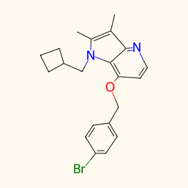 Cc1c(C)n(CC2CCC2)c2c(OCc3ccc(Br)cc3)ccnc12